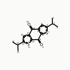 CC(C)c1cc2c(s1)C(=O)c1sc(C(C)C)cc1C2=O